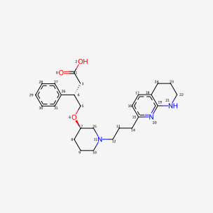 O=C(O)C[C@H](CO[C@@H]1CCCN(CCCc2ccc3c(n2)NCCC3)C1)c1ccccc1